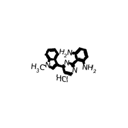 Cl.Cn1cc(-c2ccnc(-c3c(N)cccc3N)n2)c2ccccc21